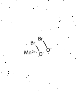 [Mn+2].[O-]Br.[O-]Br